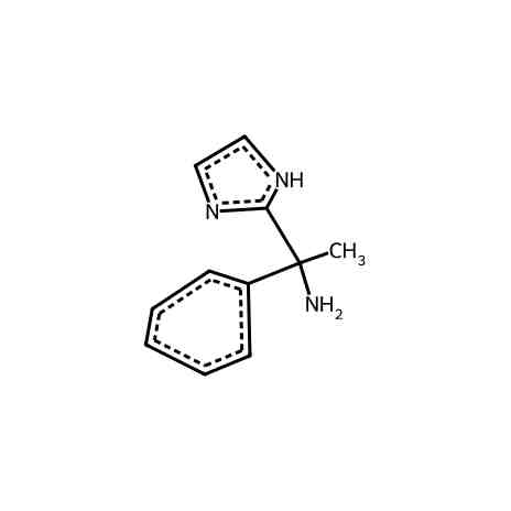 CC(N)(c1ccccc1)c1ncc[nH]1